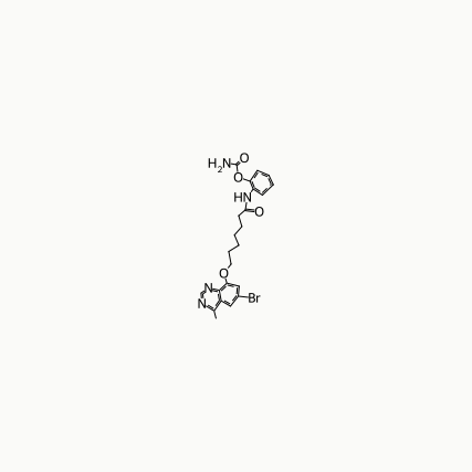 Cc1ncnc2c(OCCCCCCC(=O)Nc3ccccc3OC(N)=O)cc(Br)cc12